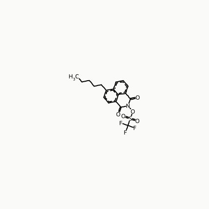 CCCCCc1ccc2c3c(cccc13)C(=O)N(OS(=O)(=O)C(F)(F)F)C2=O